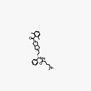 Cc1cccc(C)c1C(=O)N1CC2CN(CC[C@H](NC(=O)CCCN(C)C)c3ccccc3)CC2C1